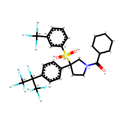 O=C(C1CCCCC1)N1CCC(c2ccc(C(F)(C(F)(F)F)C(F)(F)F)cc2)(S(=O)(=O)c2cccc(C(F)(F)F)c2)C1